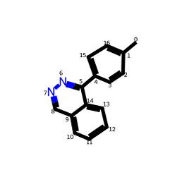 Cc1ccc(-c2nncc3ccccc23)cc1